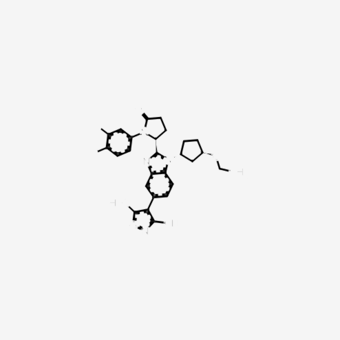 CCO[C@@H]1CC[C@@H](n2c([C@@H]3CCC(=O)N3c3ccc(F)c(F)c3)nc3cc(-c4c(C)noc4C)ccc32)C1